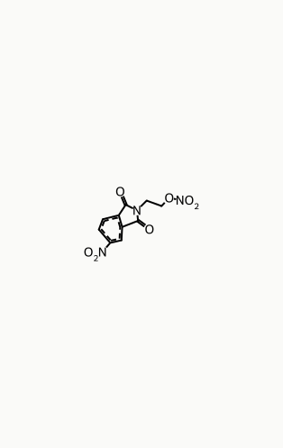 O=C1c2ccc([N+](=O)[O-])cc2C(=O)N1CCO[N+](=O)[O-]